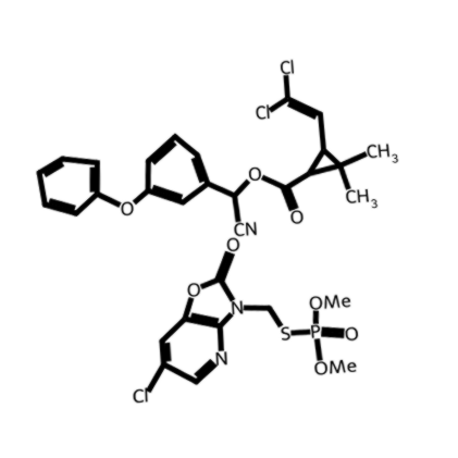 CC1(C)C(C=C(Cl)Cl)C1C(=O)OC(C#N)c1cccc(Oc2ccccc2)c1.COP(=O)(OC)SCn1c(=O)oc2cc(Cl)cnc21